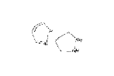 C1CNNC1.c1cnoc1